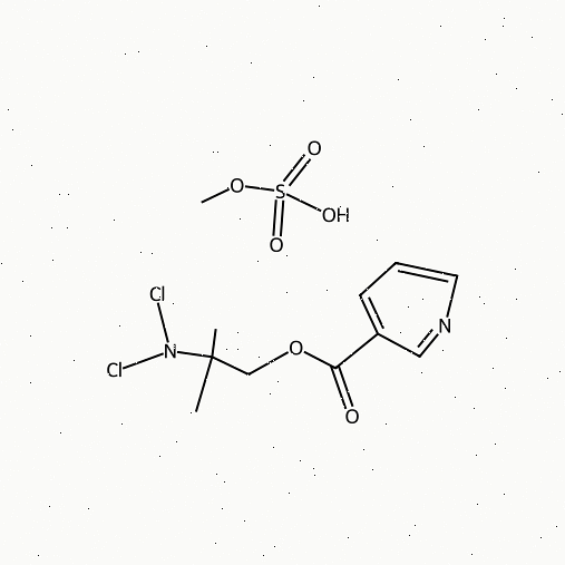 CC(C)(COC(=O)c1cccnc1)N(Cl)Cl.COS(=O)(=O)O